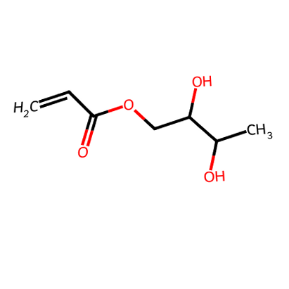 C=CC(=O)OCC(O)C(C)O